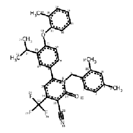 Cc1ccc(Cn2c(-c3ccc(Oc4ccccc4C)c(C(C)C)c3)cc(C(F)(F)F)c(C#N)c2=O)c(C)c1